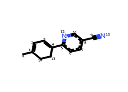 CC1=CC=C(c2ccc(C#N)cn2)C[CH]1